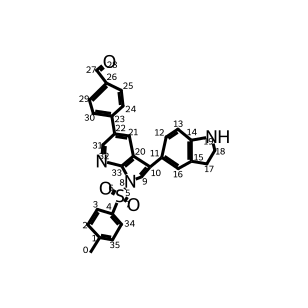 Cc1ccc(S(=O)(=O)n2cc(-c3ccc4c(c3)CCN4)c3cc(-c4ccc(C=O)cc4)cnc32)cc1